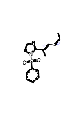 C/C=C\C=C(/C)c1nccn1S(=O)(=O)c1ccccc1